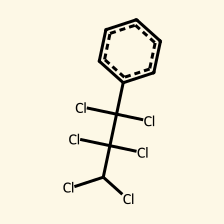 ClC(Cl)C(Cl)(Cl)C(Cl)(Cl)c1ccccc1